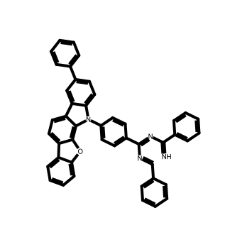 N=C(/N=C(\N=C\c1ccccc1)c1ccc(-n2c3ccc(-c4ccccc4)cc3c3ccc4c5ccccc5oc4c32)cc1)c1ccccc1